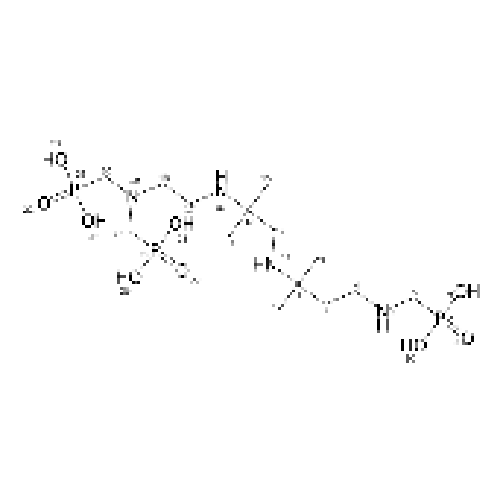 CC(C)(CCNCP(=O)(O)O)NCC(C)(C)NCCN(CP(=O)(O)O)CP(=O)(O)O